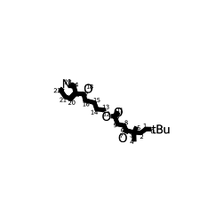 CC(C)(C)CCC(C)(C)C(=O)CCC(=O)OCCCCC(=O)C1=CCCN=C1